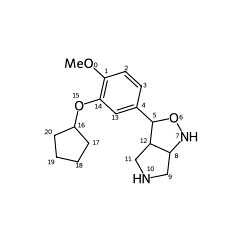 COc1ccc(C2ONC3CNCC32)cc1OC1CCCC1